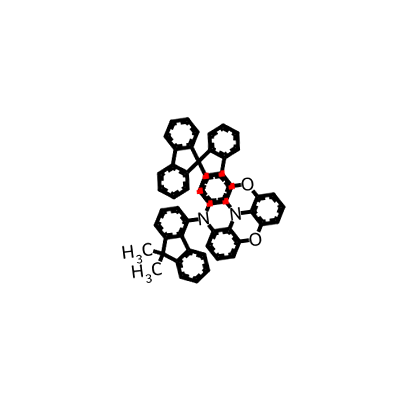 CC1(C)c2ccccc2-c2c(N(c3ccc4c(c3)C3(c5ccccc5-c5ccccc53)c3ccccc3-4)c3cccc4c3N3c5ccccc5Oc5cccc(c53)O4)cccc21